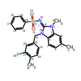 Cc1ccc2c(c1)n(C)/c(=N/S(=O)(=O)c1ccccc1)n2Cc1ccc(C)c(F)c1